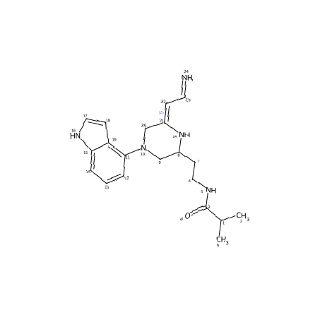 CC(C)C(=O)NCCC1CN(c2cccc3[nH]ccc23)C/C(=C/C=N)N1